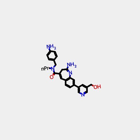 CCCN(Cc1ccc(N)cc1)C(=O)C1=Cc2ccc(-c3cncc(CO)c3)cc2N=C(N)C1